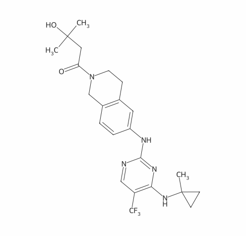 CC(C)(O)CC(=O)N1CCc2cc(Nc3ncc(C(F)(F)F)c(NC4(C)CC4)n3)ccc2C1